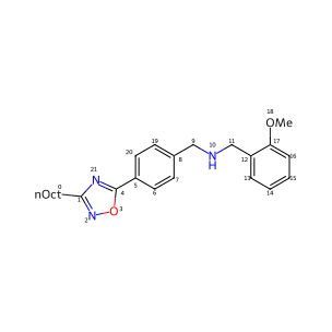 CCCCCCCCc1noc(-c2ccc(CNCc3ccccc3OC)cc2)n1